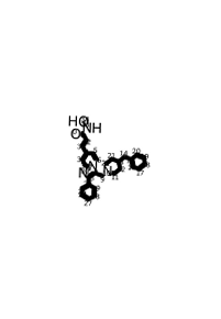 O=C(C=Cc1ccn2c(CN3CCC(Cc4ccccc4)CC3)c(-c3ccccc3)nc2c1)NO